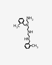 Cc1ccccc1CNCCNCCN(CCN)Cc1ccccc1C